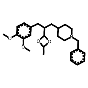 COc1ccc(CC(CC2CCN(Cc3ccccc3)CC2)C2OC(C)O2)cc1OC